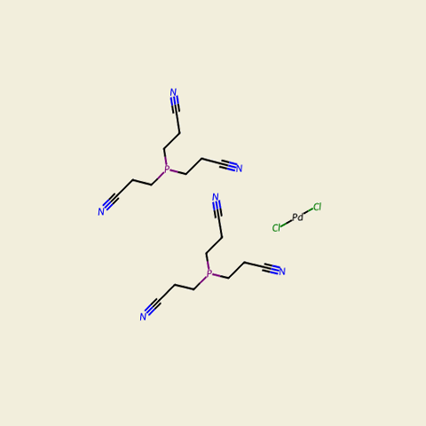 N#CCCP(CCC#N)CCC#N.N#CCCP(CCC#N)CCC#N.[Cl][Pd][Cl]